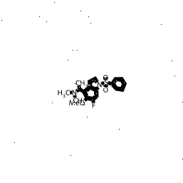 COc1c(F)cc2c(ccn2S(=O)(=O)c2ccccc2)c1C(C)N(C)C